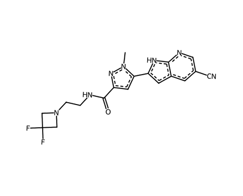 Cn1nc(C(=O)NCCN2CC(F)(F)C2)cc1-c1cc2cc(C#N)cnc2[nH]1